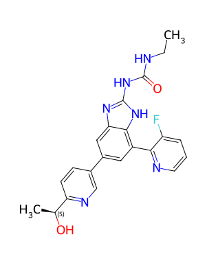 CCNC(=O)Nc1nc2cc(-c3ccc([C@H](C)O)nc3)cc(-c3ncccc3F)c2[nH]1